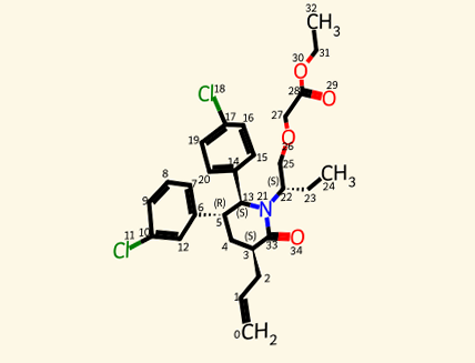 C=CC[C@H]1C[C@H](c2cccc(Cl)c2)[C@@H](c2ccc(Cl)cc2)N([C@@H](CC)COCC(=O)OCC)C1=O